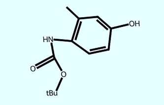 Cc1cc(O)ccc1NC(=O)OC(C)(C)C